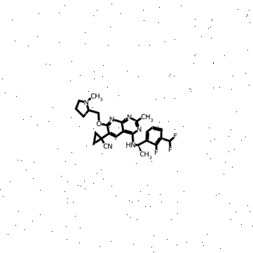 Cc1nc(N[C@H](C)c2cccc(C(F)F)c2F)c2cc(C3(C#N)CC3)c(OCC3CCCN3C)nc2n1